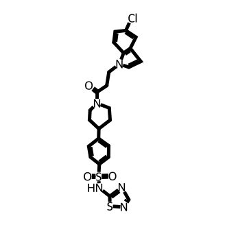 O=C(CCn1ccc2cc(Cl)ccc21)N1CCC(c2ccc(S(=O)(=O)Nc3ncns3)cc2)CC1